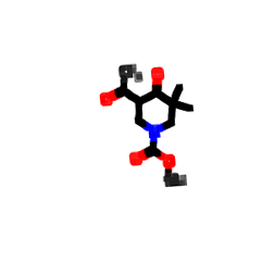 CC(C)(C)OC(=O)N1CC(C(=O)C(F)(F)F)C(=O)C(C)(C)C1